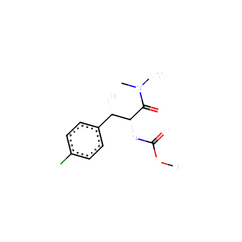 CON(C)C(=O)[C@H](NC(=O)OC(C)(C)C)[C@@H](O)c1ccc(F)cc1